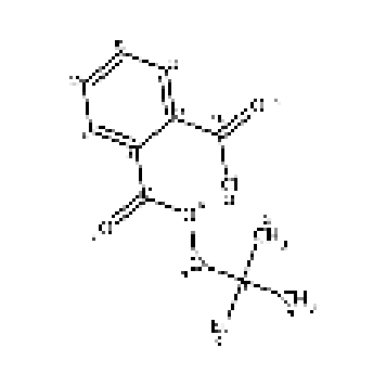 CCC(C)(C)OOC(=O)c1ccccc1C(=O)Cl